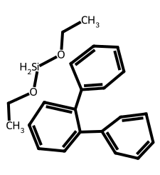 CCO[SiH2]OCC.c1ccc(-c2ccccc2-c2ccccc2)cc1